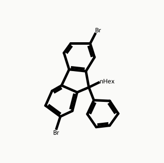 CCCCCCC1(c2ccccc2)c2cc(Br)ccc2-c2ccc(Br)cc21